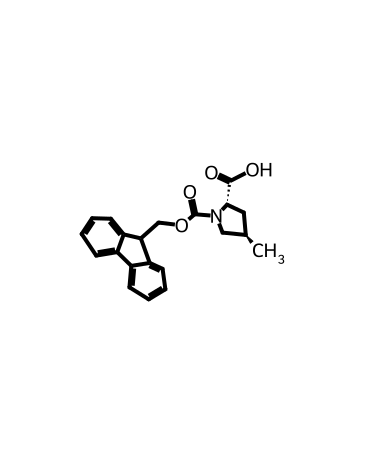 C[C@@H]1C[C@@H](C(=O)O)N(C(=O)OCC2c3ccccc3-c3ccccc32)C1